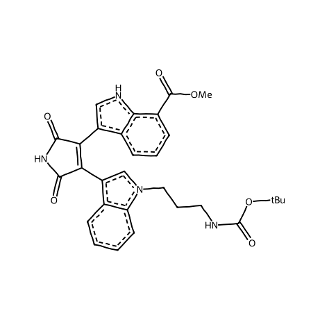 COC(=O)c1cccc2c(C3=C(c4cn(CCCNC(=O)OC(C)(C)C)c5ccccc45)C(=O)NC3=O)c[nH]c12